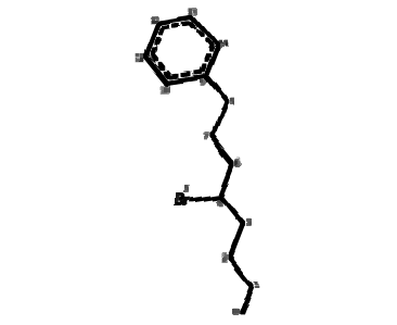 CCCCC(Br)CCCc1ccccc1